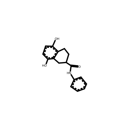 O=C(Nc1ccccc1)C1CCc2c(O)ccc(O)c2C1